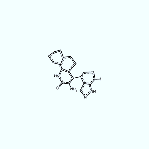 Nc1c(-c2ccc(F)c3[nH]ncc23)c2ccc3ccccc3c2[nH]c1=O